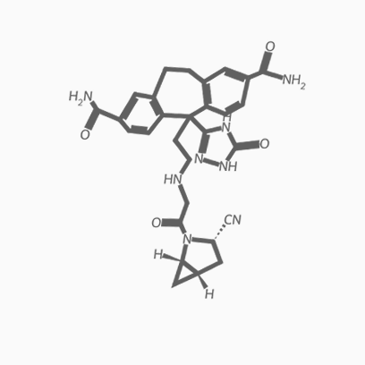 N#C[C@@H]1C[C@@H]2C[C@@H]2N1C(=O)CNCCC1(c2n[nH]c(=O)[nH]2)c2ccc(C(N)=O)cc2CCc2cc(C(N)=O)ccc21